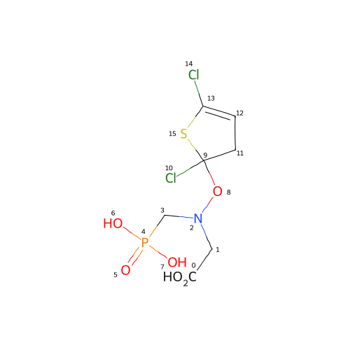 O=C(O)CN(CP(=O)(O)O)OC1(Cl)CC=C(Cl)S1